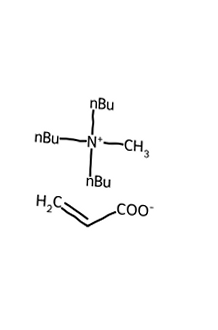 C=CC(=O)[O-].CCCC[N+](C)(CCCC)CCCC